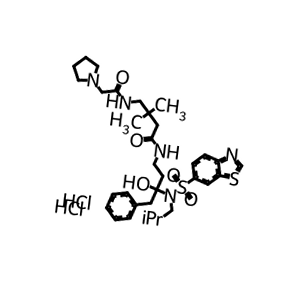 CC(C)CN(C(O)(CCNC(=O)CC(C)(C)CNC(=O)CN1CCCC1)Cc1ccccc1)S(=O)(=O)c1ccc2ncsc2c1.Cl.Cl